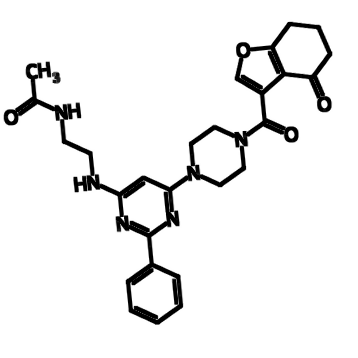 CC(=O)NCCNc1cc(N2CCN(C(=O)c3coc4c3C(=O)CCC4)CC2)nc(-c2ccccc2)n1